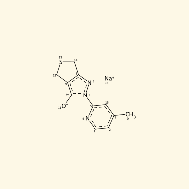 Cc1ccnc(-n2nc3c(c2[O-])CSC3)c1.[Na+]